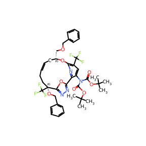 CC(C)(C)OC(=O)N(C(=O)OC(C)(C)C)c1cc(C(F)(F)F)c2nc1-c1nnc(o1)[C@@](OCc1ccccc1)(C(F)(F)F)CCC=CC[C@H](COCc1ccccc1)O2